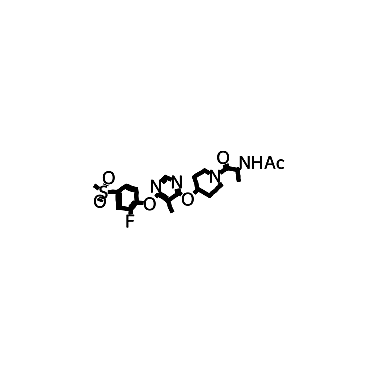 CC(=O)NC(C)C(=O)N1CCC(Oc2ncnc(Oc3ccc(S(C)(=O)=O)cc3F)c2C)CC1